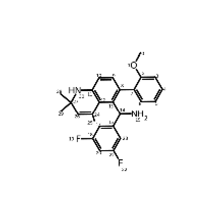 COc1ccccc1-c1ccc2c(c1C(N)c1cc(F)cc(F)c1)C(C)=CC(C)(C)N2